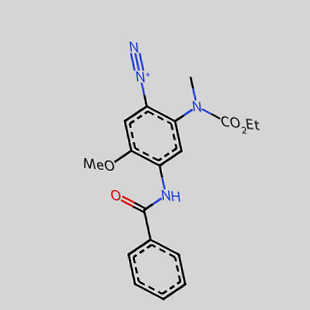 CCOC(=O)N(C)c1cc(NC(=O)c2ccccc2)c(OC)cc1[N+]#N